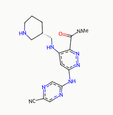 CNC(=O)c1nnc(Nc2cnc(C#N)cn2)cc1NC[C@H]1CCCNC1